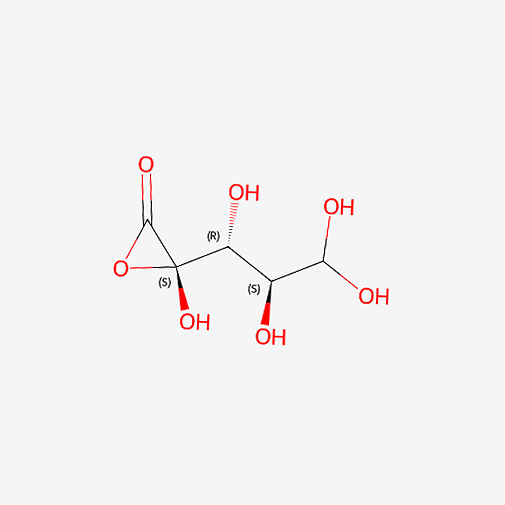 O=C1O[C@@]1(O)[C@H](O)[C@H](O)C(O)O